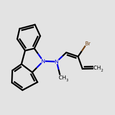 C=C/C(Br)=C\N(C)n1c2ccccc2c2ccccc21